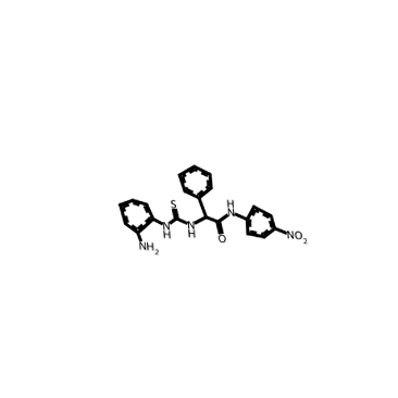 Nc1ccccc1NC(=S)NC(C(=O)Nc1ccc([N+](=O)[O-])cc1)c1ccccc1